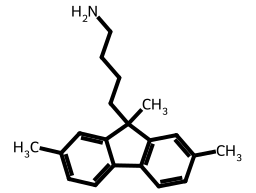 Cc1ccc2c(c1)C(C)(CCCCN)c1cc(C)ccc1-2